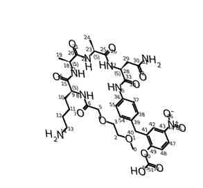 COCCOCC(=O)N[C@@H](CCCCN)C(=O)N[C@@H](C)C(=O)N[C@@H](C)C(=O)N[C@@H](CC(N)=O)C(=O)Nc1ccc(Cc2cc([N+](=O)[O-])ccc2OC(=O)O)cc1